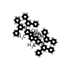 Cc1cc(N(c2cc(-c3ccccc3)cc(-c3ccccc3)c2)c2cc(-c3ccccc3)cc(-c3ccccc3)c2)cc2c1-c1ccc3c(c1C2(C)C)C(C)(C)c1cc(N(c2cc(-c4ccccc4)cc(-c4ccccc4)c2)c2cc(-c4ccccc4)cc(-c4ccccc4)c2)cc(C)c1-3